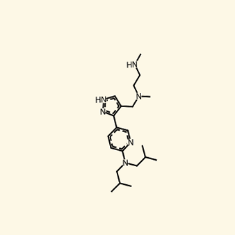 CNCCN(C)Cc1c[nH]nc1-c1ccc(N(CC(C)C)CC(C)C)nc1